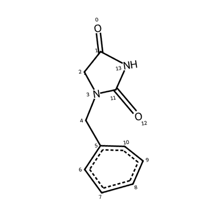 O=C1[CH]N(Cc2ccccc2)C(=O)N1